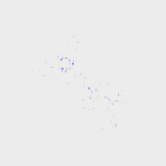 Fc1ccc(-n2c3ccccc3c3ccc4c(c5ccccc5n4-c4ccc(-c5nc(-c6ccccc6)nc(-c6ccccc6)n5)cc4)c32)cc1F